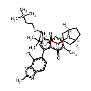 Cc1nc2ccc(-c3cn(COCC[Si](C)(C)C)c4nc(N5[C@@H]6CC[C@H]5C[C@@H](NC(=O)OC(C)(C)C)C6)n(C)c(=O)c34)c(Cl)c2s1